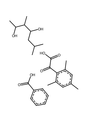 CC(C)CC(O)C(C)C(C)O.Cc1cc(C)c(C(=O)C(=O)O)c(C)c1.O=C(O)c1ccccc1